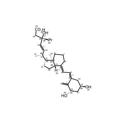 C=C1/C(=C\C=C2/CCC[C@]3(C)[C@@H]([C@H](C)/C=C/[C@@](O)(CC(=O)O)C(C)C)CC[C@@H]23)C[C@@H](O)C[C@@H]1O